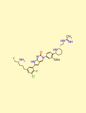 CSc1cc(-n2cc3cc(-c4cc(CCC[C@@H](N)CF)cc(Cl)c4F)[nH]c3nc2=O)ccc1[C@@H]1CCC[C@@H](CCNC(C)=N)N1